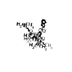 CCC[C@H](NC(=O)[C@@H]1C[C@@H](OC(=O)N2Cc3ccccc3C2)CN1C(=O)[C@@H](NC(=O)OCCCN(C)C)C(C)(C)C)B(C)OC